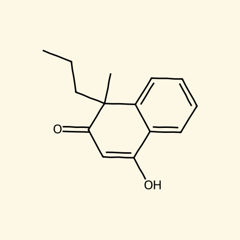 CCCC1(C)C(=O)C=C(O)c2ccccc21